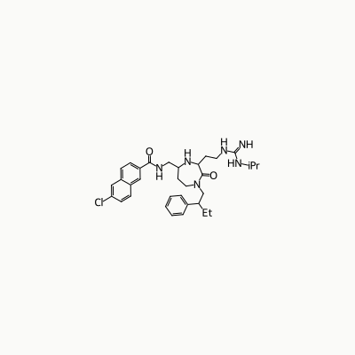 CCC(CN1CCC(CNC(=O)c2ccc3cc(Cl)ccc3c2)NC(CCNC(=N)NC(C)C)C1=O)c1ccccc1